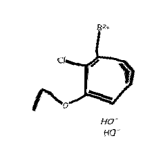 [B+2]c1cccc(OCC)c1Cl.[OH-].[OH-]